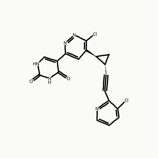 O=c1[nH]cc(-c2cc([C@H]3C[C@@H]3C#Cc3ncccc3Cl)c(Cl)nn2)c(=O)[nH]1